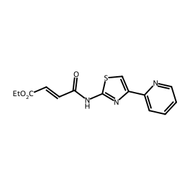 CCOC(=O)/C=C/C(=O)Nc1nc(-c2ccccn2)cs1